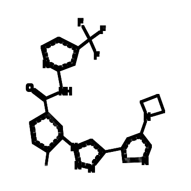 Cc1ccc(C(=O)Nc2cc(C(F)(F)F)ccn2)cc1-n1cc(-c2cncc(N3CCC3)c2)nn1